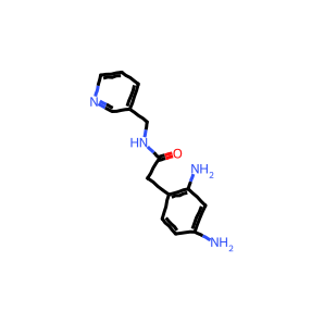 Nc1ccc(CC(=O)NCc2cccnc2)c(N)c1